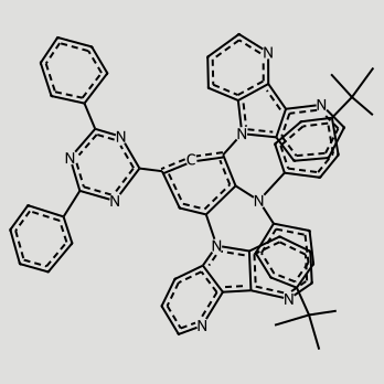 CC(C)(C)c1ccc(N(c2ccc(C(C)(C)C)cc2)c2c(-n3c4cccnc4c4ncccc43)cc(-c3nc(-c4ccccc4)nc(-c4ccccc4)n3)cc2-n2c3cccnc3c3ncccc32)cc1